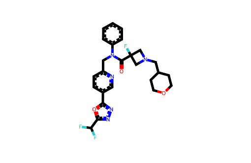 O=C(N(Cc1ccc(-c2nnc(C(F)F)o2)cn1)c1ccccc1)C1(F)CN(CC2CCOCC2)C1